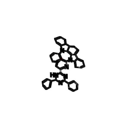 c1ccc(C2=NC(c3ccccc3)NC(c3cccc(-n4c5ccccc5c5ccc6c7ccccc7n(-c7ccccc7)c6c54)n3)=N2)cc1